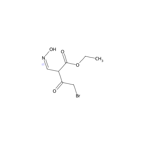 CCOC(=O)C(/C=N\O)C(=O)CBr